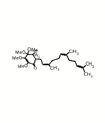 COC1=C(OC)C(OC)(OC)C(C)C(CC=C(C)CCC=C(C)CCC=C(C)C)C1=O